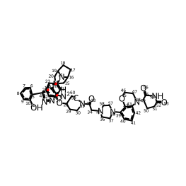 Nc1nnc(-c2ccccc2O)cc1N1CC2CCC(C1)N2c1cccc(OC2CCN(C(=O)CN3CCN(c4cccc5c4OCCN5[C@H]4CCC(=O)NC4=O)CC3)CC2)c1